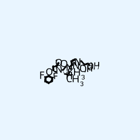 CC(C)C[C@@H](C(=O)Nc1ccn(C[C@@H](O)CO)n1)N1CC(Oc2c(F)cccc2F)=CC1=O